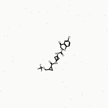 O=C1C[C@H](C(=O)NC23CC(NC(=O)C4CC4COC(F)(F)F)(C2)C3)Oc2ccc(Cl)cc21